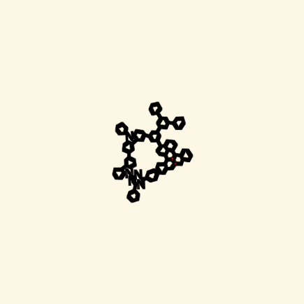 c1ccc(-c2cc(-c3ccccc3)cc(-c3cc(-c4ccc5c(c4)c4cc(-c6ccc7c(c6)c6ccccc6n7-c6nc(-c7ccccc7)nc(-c7ccccc7)n6)ccc4n5-c4ccccc4)cc(-c4ccc(-c5cccc6ccccc56)c5c(-c6cccc7ccccc67)cccc45)c3)c2)cc1